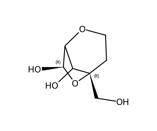 OC[C@]12CCOC(C1O)[C@H](O)O2